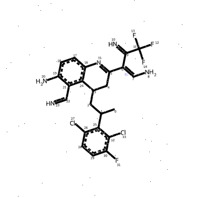 CC(CC1CC(/C(=C/N)C(=N)C(F)(F)F)=Nc2ccc(N)c(C=N)c21)c1c(Cl)ccc(F)c1Cl